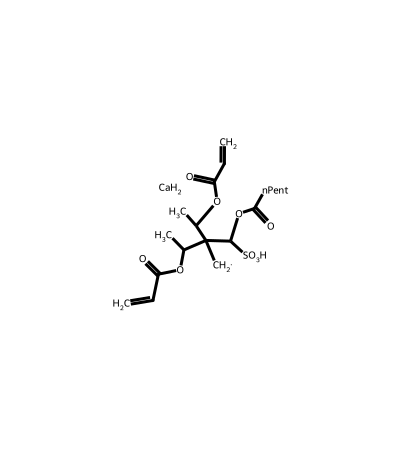 [CH2]C(C(C)OC(=O)C=C)(C(C)OC(=O)C=C)C(OC(=O)CCCCC)S(=O)(=O)O.[CaH2]